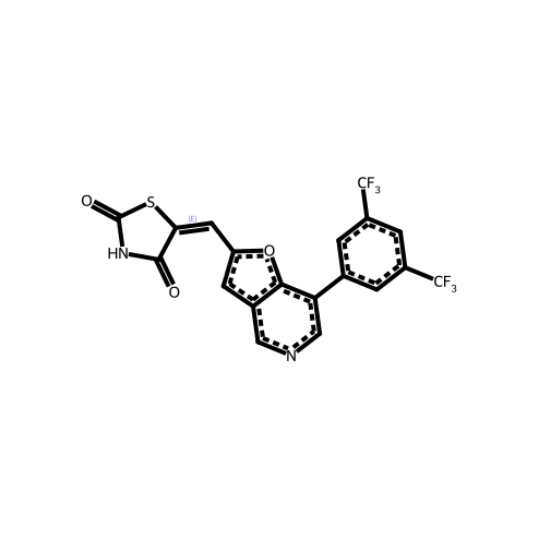 O=C1NC(=O)/C(=C\c2cc3cncc(-c4cc(C(F)(F)F)cc(C(F)(F)F)c4)c3o2)S1